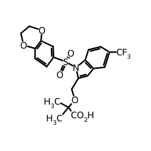 CC(C)(OCc1cc2cc(C(F)(F)F)ccc2n1S(=O)(=O)c1ccc2c(c1)OCCO2)C(=O)O